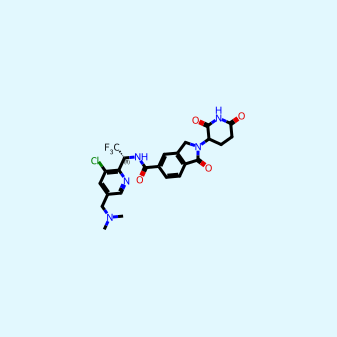 CN(C)Cc1cnc([C@@H](NC(=O)c2ccc3c(c2)CN(C2CCC(=O)NC2=O)C3=O)C(F)(F)F)c(Cl)c1